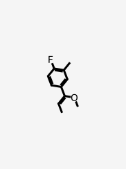 CC=C(OC)c1ccc(F)c(C)c1